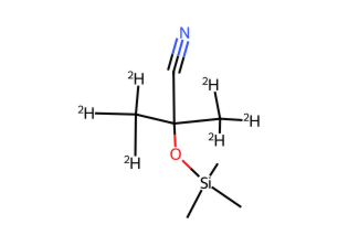 [2H]C([2H])([2H])C(C#N)(O[Si](C)(C)C)C([2H])([2H])[2H]